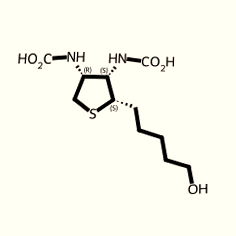 O=C(O)N[C@H]1[C@@H](NC(=O)O)CS[C@H]1CCCCCO